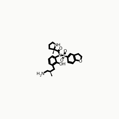 C[C@@H](CN)Cc1cccc(N(C(=O)[C@]2(C)CCCN2)S(=O)(=O)c2ccc3c(c2)CCO3)c1O